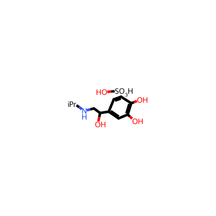 CC(C)NCC(O)c1ccc(O)c(O)c1.O=S(=O)(O)O